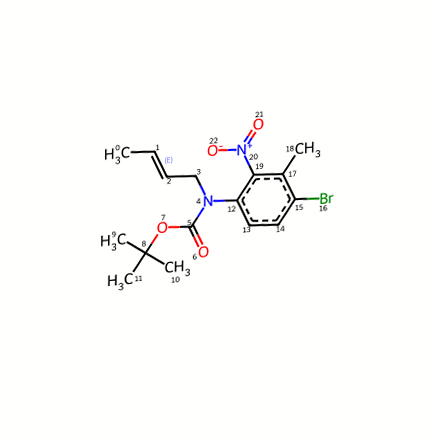 C/C=C/CN(C(=O)OC(C)(C)C)c1ccc(Br)c(C)c1[N+](=O)[O-]